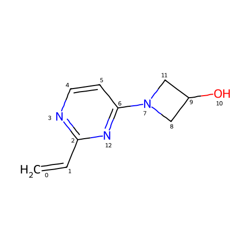 C=Cc1nccc(N2CC(O)C2)n1